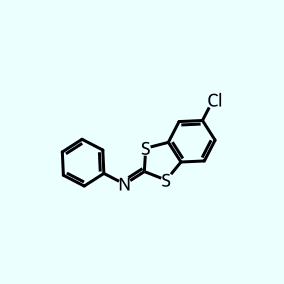 Clc1ccc2s/c(=N/c3ccccc3)sc2c1